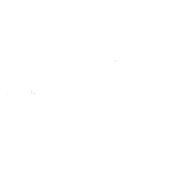 Cc1oc(-c2ccccc2)nc1CCOc1ccc(/C=C/C=C/CO)cc1